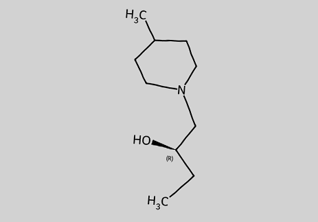 CC[C@@H](O)CN1CCC(C)CC1